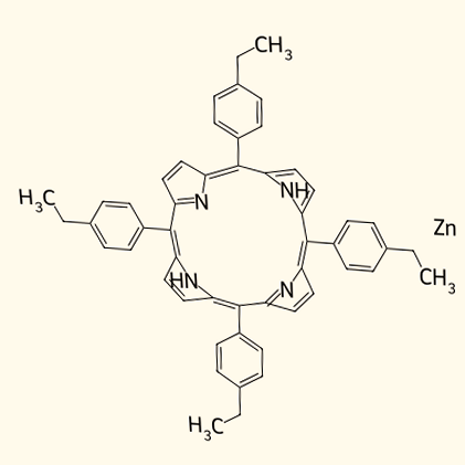 CCc1ccc(-c2c3nc(c(-c4ccc(CC)cc4)c4ccc([nH]4)c(-c4ccc(CC)cc4)c4nc(c(-c5ccc(CC)cc5)c5ccc2[nH]5)C=C4)C=C3)cc1.[Zn]